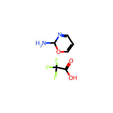 NC1N=CC=CO1.O=C(O)C(F)(F)F